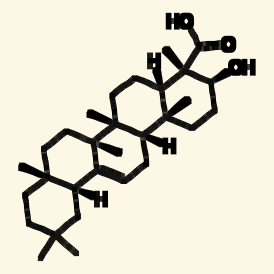 CC1(C)CC[C@]2(C)CC[C@@]3(C)C(=CC[C@H]4[C@@]5(C)CC[C@H](O)[C@@](C)(C(=O)O)[C@H]5CC[C@]43C)[C@@H]2C1